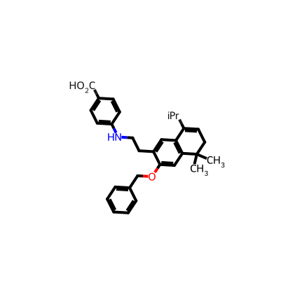 CC(C)C1=CCC(C)(C)c2cc(OCc3ccccc3)c(CCNc3ccc(C(=O)O)cc3)cc21